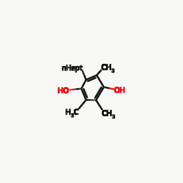 CCCCCCCc1c(C)c(O)c(C)c(C)c1O